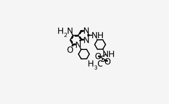 CS(=O)(=O)N[C@H]1CC[C@H](Nc2ncc3c(N)cc(=O)n(C4CCCCC4)c3n2)CC1